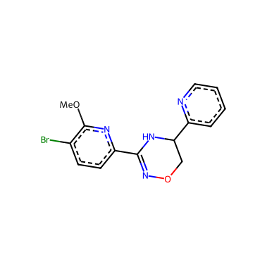 COc1nc(C2=NOCC(c3ccccn3)N2)ccc1Br